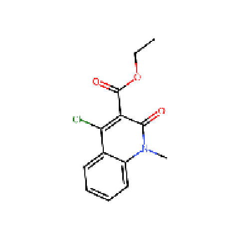 CCOC(=O)c1c(Cl)c2ccccc2n(C)c1=O